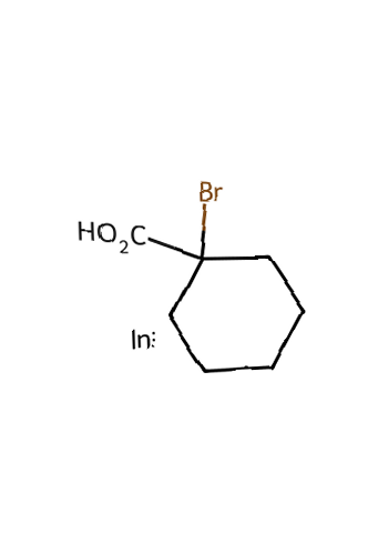 O=C(O)C1(Br)CCCCC1.[In]